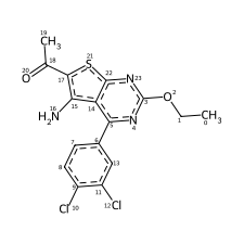 CCOc1nc(-c2ccc(Cl)c(Cl)c2)c2c(N)c(C(C)=O)sc2n1